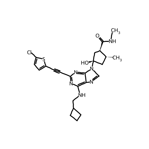 CNC(=O)[C@@H]1C[C@@](O)(n2cnc3c(NCC4CCC4)nc(C#Cc4ccc(Cl)s4)nc32)C[C@H]1C